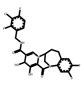 O=C(NCc1ccc(F)c(Cl)c1F)C1=CN2C(=C(O)C1O)C(=O)N1CC2CCc2cc(F)c(F)cc21